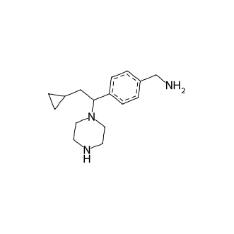 NCc1ccc(C(CC2CC2)N2CCNCC2)cc1